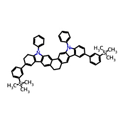 C[Si](C)(C)c1cccc(C2=Cc3c(n(-c4ccccc4)c4cc5c(cc34)CCc3cc4c6cc(-c7cccc([Si](C)(C)C)c7)ccc6n(-c6ccccc6)c4cc3-5)CC2)c1